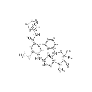 COc1cc(C(=O)NC2CN3CCC2CC3)ccc1Nc1ncc2c(n1)N(c1ccccc1)CC(F)(F)C(=O)N2C